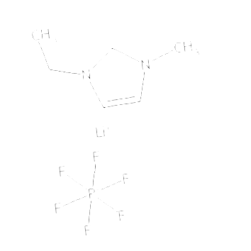 CCN1C=CN(C)C1.F[P-](F)(F)(F)(F)F.[Li+]